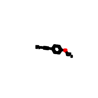 CC(C)C#Cc1ccc(OC(F)(F)F)cc1